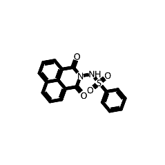 O=C1c2cccc3cccc(c23)C(=O)N1NS(=O)(=O)c1ccccc1